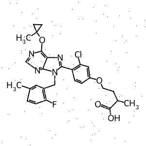 Cc1ccc(F)c(Cn2c(-c3ccc(OCCC(C)C(=O)O)cc3Cl)nc3c(OC4(C)CC4)ncnc32)c1